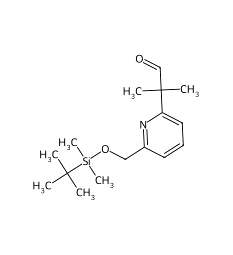 CC(C)(C=O)c1cccc(CO[Si](C)(C)C(C)(C)C)n1